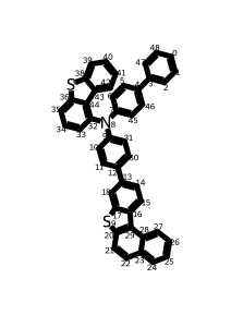 c1ccc(-c2ccc(N(c3ccc(-c4ccc5c(c4)sc4ccc6ccccc6c45)cc3)c3cccc4sc5ccccc5c34)cc2)cc1